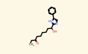 CCC(=O)CCCCCC(O)c1ncc(-c2ccccc2)[nH]1